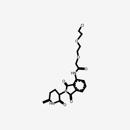 C=C1CCC(N2C(=O)c3cccc(NC(=O)COCCOCCCl)c3C2=O)C(=O)N1